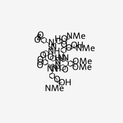 CNCC(O)COc1cccc(-c2nc(NC3CCOC(c4cc(OC)c(OC)cc4-c4cc(NC5CCOCC5)nc(-c5cccc(OCC(O)CNC)c5)n4)C3)cc(-c3cc4c(c(C5CC(Nc6cc(-c7ccc(S(C)(=O)=O)cc7)nc(-c7cccc(OCC(O)CNC)c7)n6)CCO5)c3)OCCO4)n2)c1